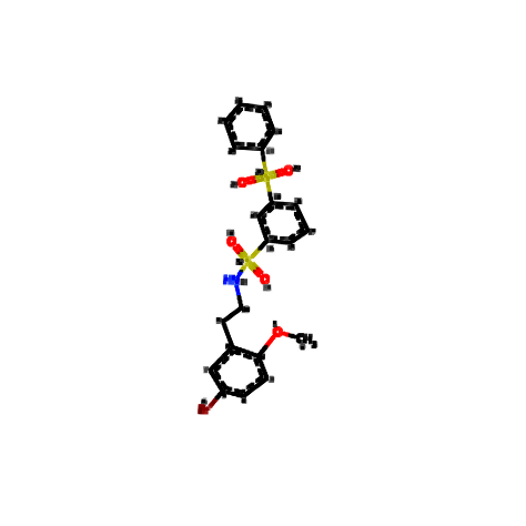 COc1ccc(Br)cc1CCNS(=O)(=O)c1cccc(S(=O)(=O)c2ccccc2)c1